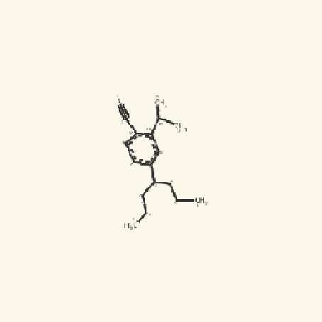 CCCC(CCC)c1ccc(C#N)c(C(C)C)c1